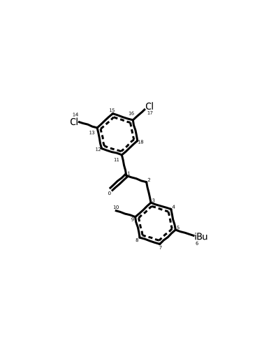 C=C(Cc1cc(C(C)CC)ccc1C)c1cc(Cl)cc(Cl)c1